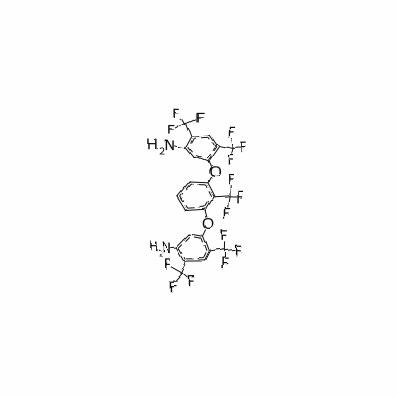 Nc1cc(Oc2cccc(Oc3cc(N)c(C(F)(F)F)cc3C(F)(F)F)c2C(F)(F)F)c(C(F)(F)F)cc1C(F)(F)F